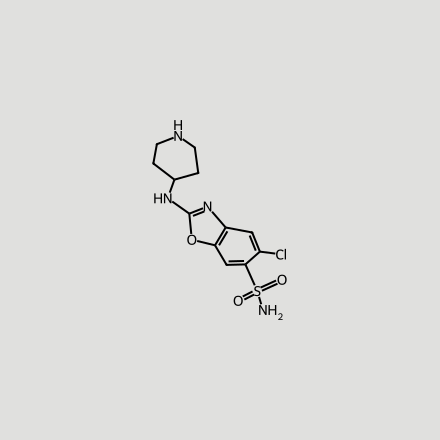 NS(=O)(=O)c1cc2oc(NC3CCNCC3)nc2cc1Cl